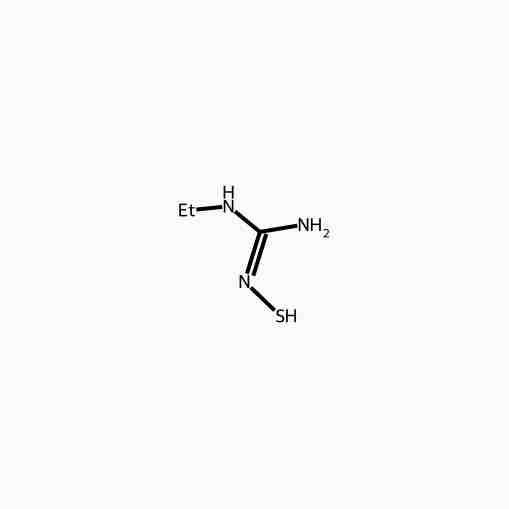 CCNC(N)=NS